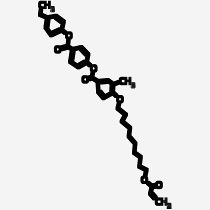 C=CC(=O)OCCCCCCCCCCOc1ccc(C(=O)Oc2ccc(C(=O)Oc3ccc(CC)cc3)cc2)cc1C